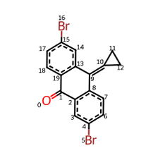 O=C1c2cc(Br)ccc2C(=C2CC2)c2cc(Br)ccc21